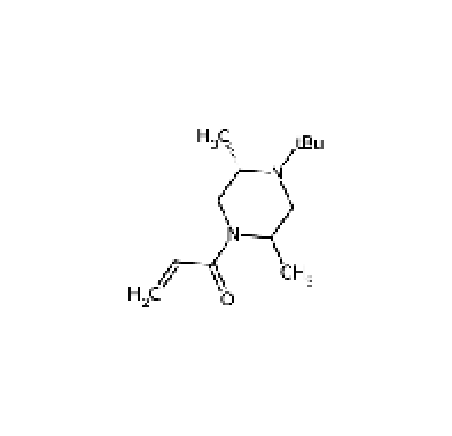 C=CC(=O)N1C[C@H](C)N(C(C)(C)C)CC1C